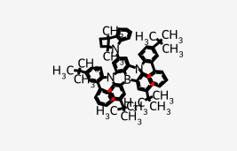 CC(C)(C)c1ccc2c(c1)B1c3cc(C(C)(C)C)ccc3N(c3ccc(C(C)(C)C)cc3-c3ccccc3)c3cc(N4c5ccccc5C5(C)CCC45C)cc(c31)N2c1ccc(C(C)(C)C)cc1-c1ccccc1